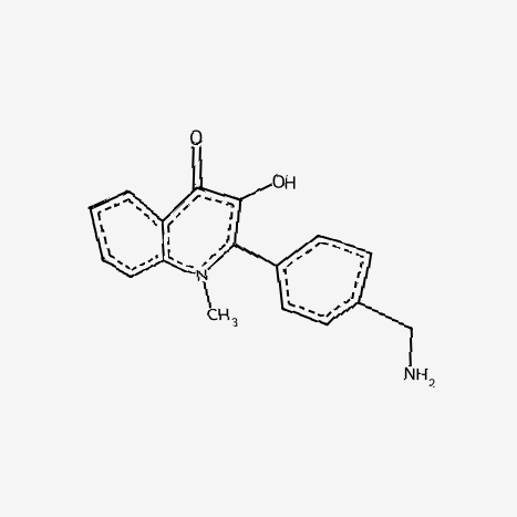 Cn1c(-c2ccc(CN)cc2)c(O)c(=O)c2ccccc21